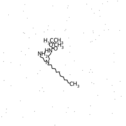 CCCCCCCCCCCCN(CCCN)CCCNC(=O)OC(C)(C)C